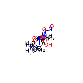 CCn1c(-c2cncnc2[C@H](C)OC)c2c3cc(ccc31)-c1cc(O)cc(c1)C[C@H](NC(=O)C(C(C)C)N(C)C(=O)[C@H]1CCN(C(=O)C#CCN3CCOCC3)C1)C(=O)N1CCC[C@H](N1)C(=O)OCC(C)(C)C2